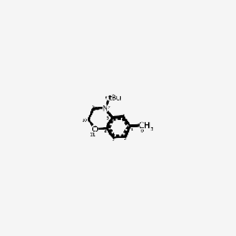 Cc1ccc2c(c1)N(C(C)(C)C)CCO2